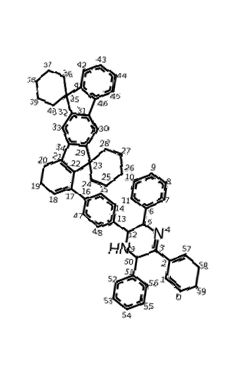 C1=CC(C2=NC(c3ccccc3)C(c3ccc(C4=CCCC5=C4C4(CCCCC4)c4cc6c(cc45)C4(CCCCC4)c4ccccc4-6)cc3)NC2c2ccccc2)=CCC1